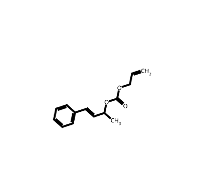 C=CCOC(=O)OC(C)C=Cc1ccccc1